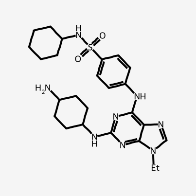 CCn1cnc2c(Nc3ccc(S(=O)(=O)NC4CCCCC4)cc3)nc(NC3CCC(N)CC3)nc21